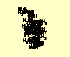 CN[C@@H](Cc1ccccc1)C(=O)N[C@@H](CCS(C)(=O)=O)C(=O)N1CCC[C@H]1C(=O)N(C)[C@@H](Cc1cccc(Cl)c1)C(=O)N[C@H](C(=O)N[C@@H](CCS(C)(=O)=O)C(=O)N[C@@H](CC(=O)N[C@@H](C)C(=O)N1CCC[C@H]1C(=O)N[C@H](C=O)C(C)C)C(=O)N1CCC[C@H]1C(=O)N(C)CC(=O)N[C@@H](CO)C(=O)NCCN(C)C)C(C)C